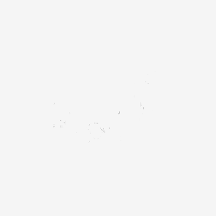 CCN1CCN(C[C@H]2C[C@H](c3ccc(CN4CCCC4)cc3)C2)CC1